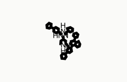 C1=CC(C2=NC(c3ccccc3)NC(c3ccc(-c4ccccc4)cc3)N2)=CC(n2c3cc(-c4ccccc4)ccc3c3c4ccccc4c(-c4ccccc4)cc32)N1